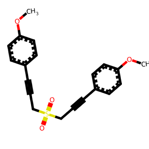 COc1ccc(C#CCS(=O)(=O)CC#Cc2ccc(OC)cc2)cc1